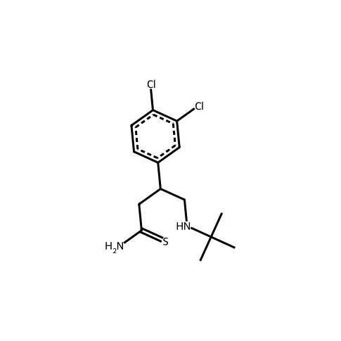 CC(C)(C)NCC(CC(N)=S)c1ccc(Cl)c(Cl)c1